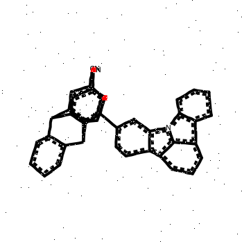 N#Cc1ccc2c(c1)C1c3ccccc3C2c2c(-c3ccc4c5cccc6c7ccccc7n(c4c3)c65)cc(C#N)cc21